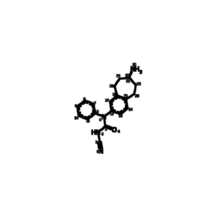 N#CNC(=O)N(c1ccccc1)c1ccc2c(c1)CC[C@@H](N)CC2